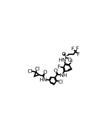 O=C(Nc1ccc(F)c(NS(=O)(=O)CCC(F)(F)F)c1F)c1cc(NC(=O)C2CC2(Cl)Cl)ccc1Cl